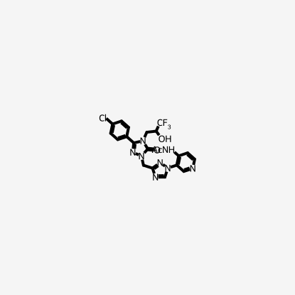 CC(=O)Nc1ccncc1-n1cnc(Cn2nc(-c3ccc(Cl)cc3)n(CC(O)C(F)(F)F)c2=O)n1